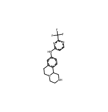 FC(F)(F)c1nccc(Nc2ccc3c(c2)CCN2CCNCC32)n1